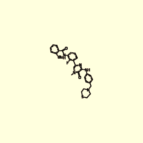 Cn1cc(-c2cccc(NC(=O)c3ccccc3C(C)(C)C)c2F)nc(Nc2ccc(CN3CCSCC3)cc2)c1=O